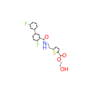 O=C(OCCO)c1ccc(CCNC(=O)c2cc(-c3cccc(F)c3)ccc2F)s1